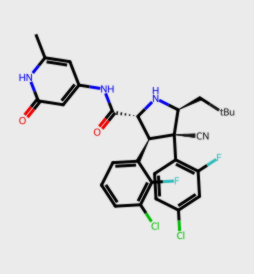 Cc1cc(NC(=O)[C@@H]2N[C@@H](CC(C)(C)C)[C@](C#N)(c3ccc(Cl)cc3F)[C@H]2c2cccc(Cl)c2F)cc(=O)[nH]1